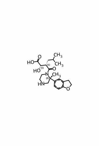 CC(C)C[C@H](C(=O)N1CCNC[C@@]1(C)c1ccc2c(c1)CCO2)[C@H](O)C(=O)O